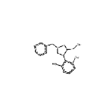 OCC1CN(Cc2ccccc2)CC1c1c(O)cccc1O